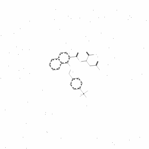 CC(=O)CC(NC(=O)c1ccc2ccccc2c1OCc1ccc(C(F)(F)F)cc1)C(=O)O